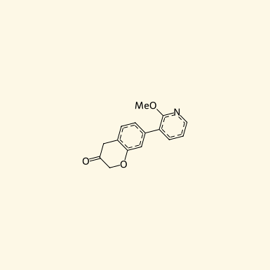 COc1ncccc1-c1ccc2c(c1)OCC(=O)C2